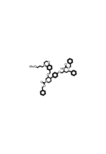 COCCCN1CCOc2ccc(COC3CN(C(=O)OCc4ccccc4)CCC3c3ccc(OCC(CCc4ccccc4)NC(=O)OCc4ccccc4)cc3)cc21